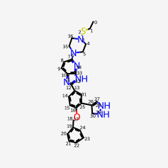 CCSN1CCN(c2ccc3nc(-c4ccc(OCc5ccccc5)c(C5=CNNC5)c4)[nH]c3n2)CC1